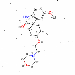 CCOc1ccc2c(c1)C1(CCC(OCCN3CCOCC3)CC1)C(=O)N2